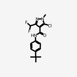 Cn1nc(C(F)F)c(C(=O)Nc2ccc(C(C)(C)C)cc2)c1Cl